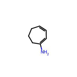 NC1=CC=CCCC1